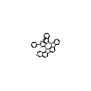 c1ccc(-c2nc(-c3ccccc3)nc(-n3c4c5ccncc5ccc4c4ccc5c6ccccc6n(-c6ccccc6)c5c43)n2)cc1